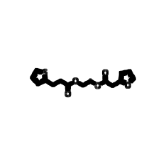 O=C(Cc1ccco1)O[CH]COC(=O)CCc1cccs1